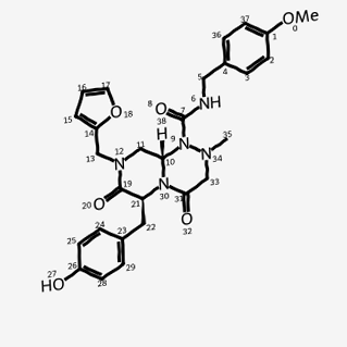 COc1ccc(CNC(=O)N2[C@H]3CN(Cc4ccco4)C(=O)[C@H](Cc4ccc(O)cc4)N3C(=O)CN2C)cc1